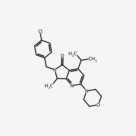 CC(C)c1cc(N2CCOCC2)nc2c1C(=O)N(Cc1ccc(Cl)cc1)C2C